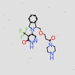 O=C(CCOC[C@@H]1c2ccccc2CN1c1cn[nH]c(=O)c1C(F)(F)F)N1CCNCC1